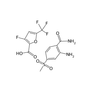 CS(=O)(=O)c1ccc(C(N)=O)c(N)c1.O=C(O)c1oc(C(F)(F)F)cc1F